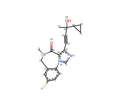 CN1Cc2cc(F)ccc2-n2cnc(C#CC(C)(O)C3CC3)c2C1=O